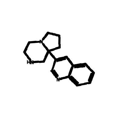 [c]1nc2ccccc2cc1C12CCCN1CCNC2